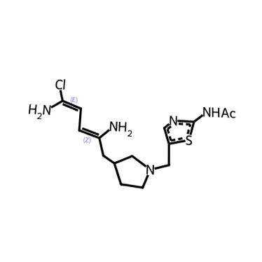 CC(=O)Nc1ncc(CN2CCC(C/C(N)=C/C=C(\N)Cl)C2)s1